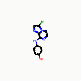 Oc1ccc(Nc2nccn3c(Br)cnc23)cc1